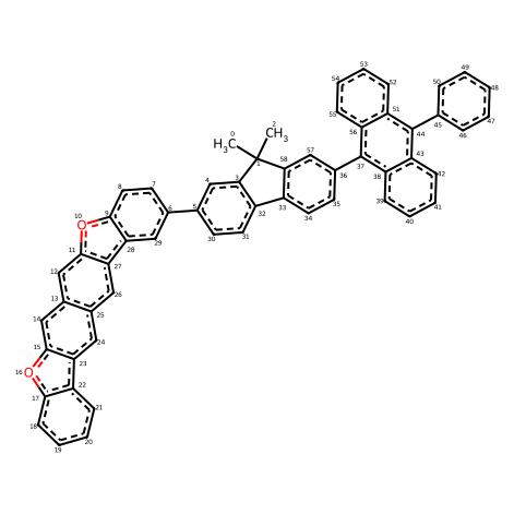 CC1(C)c2cc(-c3ccc4oc5cc6cc7oc8ccccc8c7cc6cc5c4c3)ccc2-c2ccc(-c3c4ccccc4c(-c4ccccc4)c4ccccc34)cc21